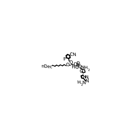 CCCCCCCCCCCCCCCCCCOC[C@H](COP(=O)(O)OC[C@]1(N)CC[C@H](c2ccc3c(N)ncnn23)O1)OCc1cc(C#N)ccc1F